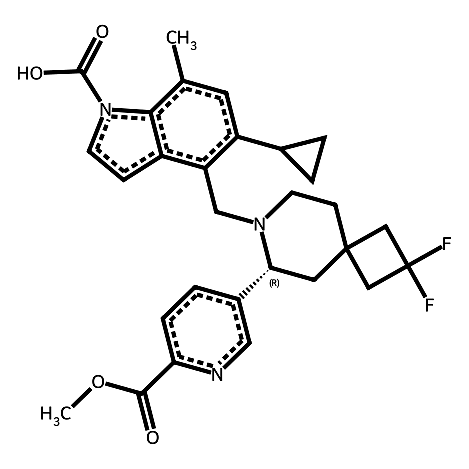 COC(=O)c1ccc([C@H]2CC3(CCN2Cc2c(C4CC4)cc(C)c4c2ccn4C(=O)O)CC(F)(F)C3)cn1